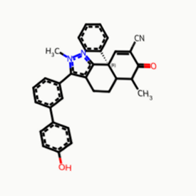 CC1C(=O)C(C#N)=C[C@]2(c3ccccc3)c3nn(C)c(-c4cccc(-c5ccc(O)cc5)c4)c3CCC12